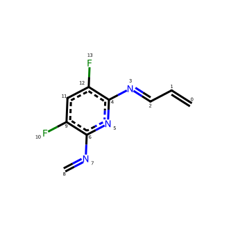 C=CC=Nc1nc(N=C)c(F)cc1F